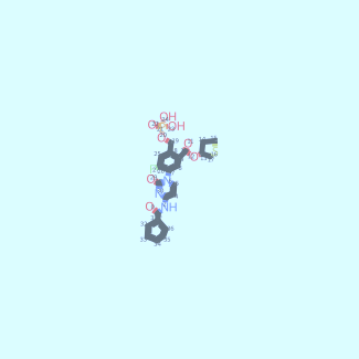 O=C(Nc1ccn(-c2cc(C(=O)OC3CCSC3)c(COP(=O)(O)O)cc2F)c(=O)n1)c1ccccc1